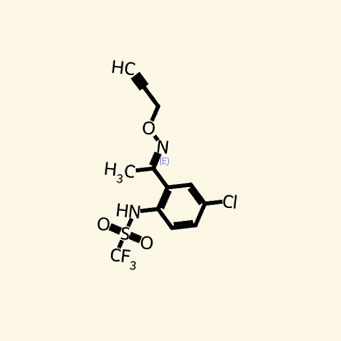 C#CCO/N=C(\C)c1cc(Cl)ccc1NS(=O)(=O)C(F)(F)F